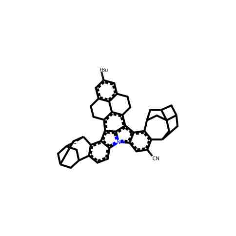 CC(C)(C)c1cc2c3c(c1)CCc1c-3c(c3c4c5c(ccc4n4c6cc(C#N)c7c(c6c1c34)C1CC3CC4CC7CC43C1)C1CC3CC(C1)CC5C3)CC2